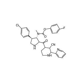 CN(C(=O)Oc1ccc(F)cc1)[C@@H]1C(C(=O)C2CCNC(c3ccccn3)C2C#N)NC[C@H]1c1ccc(Cl)cc1